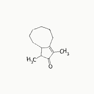 CC1=C2CCCCCCC2C(C)C1=O